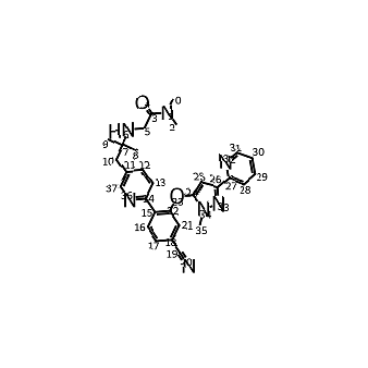 CN(C)C(=O)CNC(C)(C)Cc1ccc(-c2ccc(C#N)cc2Oc2cc(-c3ccccn3)nn2C)nc1